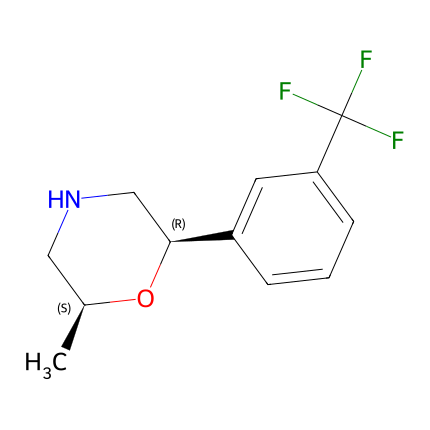 C[C@H]1CNC[C@@H](c2cccc(C(F)(F)F)c2)O1